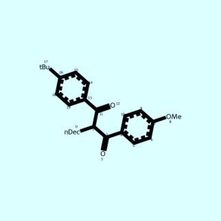 CCCCCCCCCCC(C(=O)c1ccc(OC)cc1)C(=O)c1ccc(C(C)(C)C)cc1